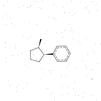 C[C@@H]1CCC[C@@H]1c1ccccc1